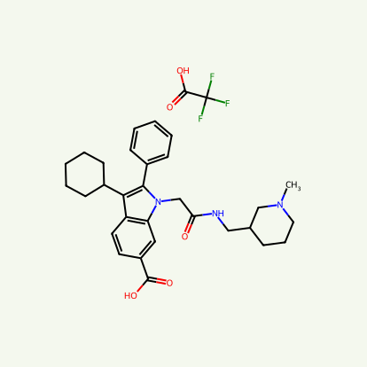 CN1CCCC(CNC(=O)Cn2c(-c3ccccc3)c(C3CCCCC3)c3ccc(C(=O)O)cc32)C1.O=C(O)C(F)(F)F